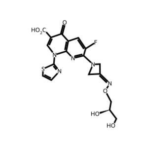 O=C(O)c1cn(-c2nccs2)c2nc(N3CC(=NOC[C@H](O)CO)C3)c(F)cc2c1=O